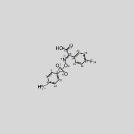 Cc1ccc(S(=O)(=O)O/N=C(/C(=O)O)c2ccc(F)cc2)cc1